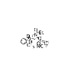 CCC(=O)N1C[C@H](S(=O)(=O)c2ccccc2C(F)(F)F)C[C@@H]1OC(=O)NC1(C#N)CC1